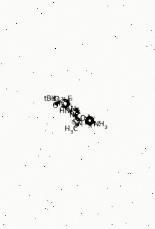 Cc1nc(Oc2ccc(N)cc2)c(-c2ccnc(N[C@H]3C[C@H](F)CN(C(=O)OC(C)(C)C)C3)n2)s1